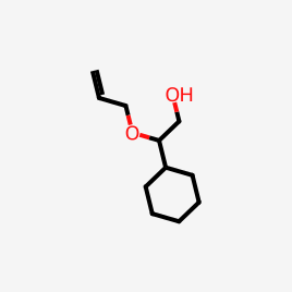 C=CCOC(CO)C1CCCCC1